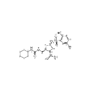 O=C(NC1CCCCC1)OC[C@H]1C[C@@H](NS(=O)(=O)c2cc(Br)ccc2Br)CN1C(=O)O